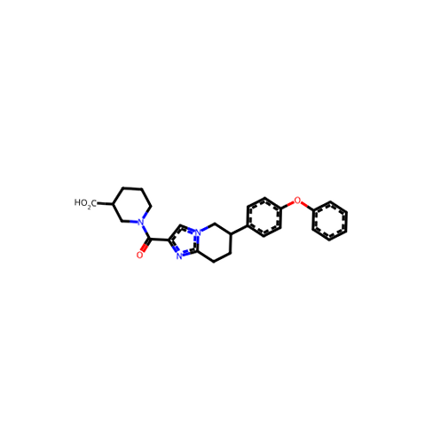 O=C(O)C1CCCN(C(=O)c2cn3c(n2)CCC(c2ccc(Oc4ccccc4)cc2)C3)C1